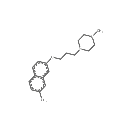 Cc1ccc2ccc(OCCCN3CCN(C)CC3)cc2c1